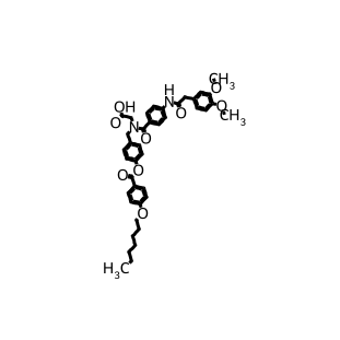 CCCCCCCOc1ccc(C(=O)Oc2ccc(CN(CC(=O)O)C(=O)c3ccc(NC(=O)Cc4ccc(OC)c(OC)c4)cc3)cc2)cc1